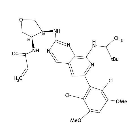 C=CC(=O)N[C@H]1COC[C@H]1Nc1ncc2cc(-c3c(Cl)c(OC)cc(OC)c3Cl)nc(NC(C)C(C)(C)C)c2n1